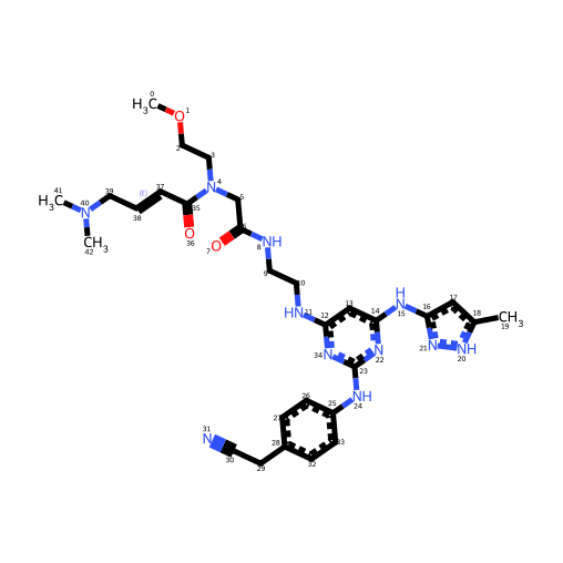 COCCN(CC(=O)NCCNc1cc(Nc2cc(C)[nH]n2)nc(Nc2ccc(CC#N)cc2)n1)C(=O)/C=C/CN(C)C